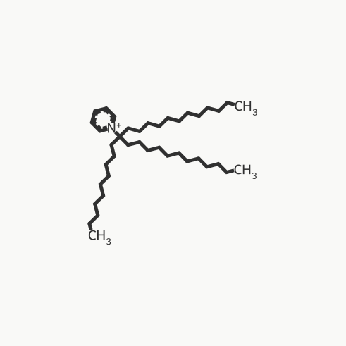 CCCCCCCCCCCCC(CCCCCCCCCC)(CCCCCCCCCCCC)[n+]1ccccc1